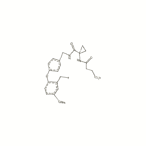 COc1ccc(Oc2ccc(CNC(=O)C3(NC(=O)CCC(=O)O)CC3)cc2)c(CF)c1